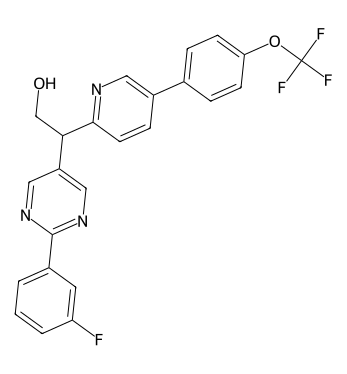 OCC(c1cnc(-c2cccc(F)c2)nc1)c1ccc(-c2ccc(OC(F)(F)F)cc2)cn1